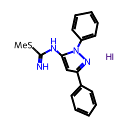 CSC(=N)Nc1cc(-c2ccccc2)nn1-c1ccccc1.I